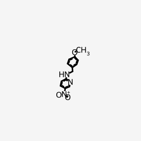 COc1ccc(CNc2ccc([N+](=O)[O-])cn2)cc1